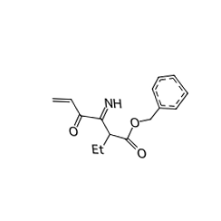 C=CC(=O)C(=N)C(CC)C(=O)OCc1ccccc1